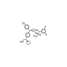 CS(=O)(=O)C(C=C1CN(C(c2ccc(Cl)cc2)c2ccc(C(CO)N3CCCC3)cc2)C1)c1cc(F)cc(F)c1